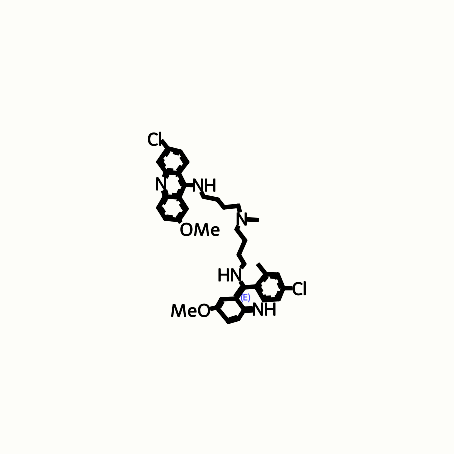 COC1=C/C(=C(\NCCCCN(C)CCCCNc2c3ccc(Cl)cc3nc3ccc(OC)cc23)c2ccc(Cl)cc2C)C(=N)C=C1